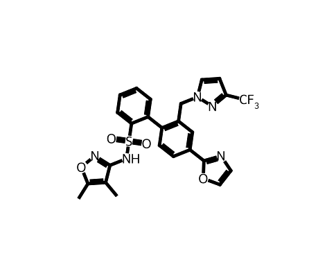 Cc1onc(NS(=O)(=O)c2ccccc2-c2ccc(-c3ncco3)cc2Cn2ccc(C(F)(F)F)n2)c1C